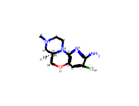 CN1CCN2c3nc(N)c(Cl)cc3OC[C@H]2C1